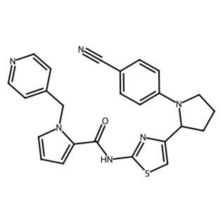 N#Cc1ccc(N2CCCC2c2csc(NC(=O)c3cccn3Cc3ccncc3)n2)cc1